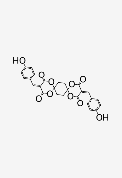 O=C1OC2(CCC3(CC2)OC(=O)C(=Cc2ccc(O)cc2)C(=O)O3)OC(=O)C1=Cc1ccc(O)cc1